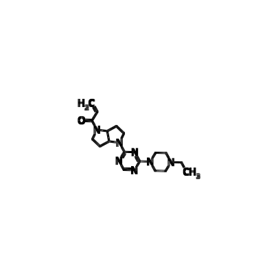 C=CC(=O)N1CCC2C1CCN2c1ncnc(N2CCN(CC)CC2)n1